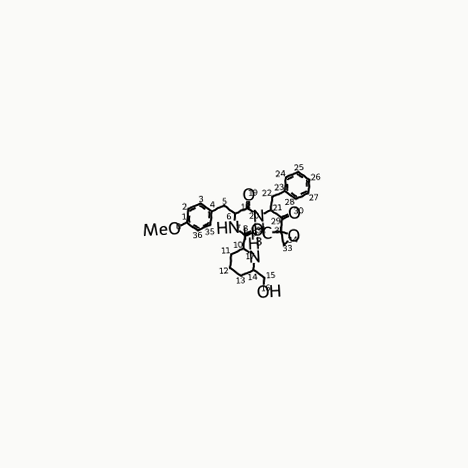 COc1ccc(CC(NC(=O)C2CCCC(CO)N2)C(=O)NC(Cc2ccccc2)C(=O)C2(C)CO2)cc1